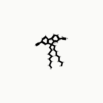 C#Cc1ccc2c(c1)C(CCCCCCCC)(CCCCCCCC)c1cc(C#C)ccc1-2